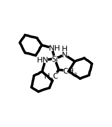 CC(C)[Si](NC1CCCCC1)(NC1CCCCC1)NC1CCCCC1